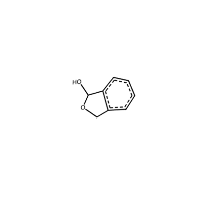 OC1O[CH]c2ccccc21